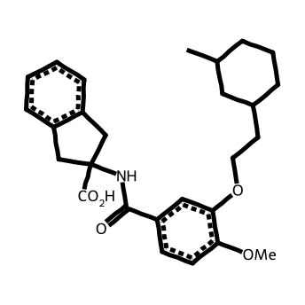 COc1ccc(C(=O)NC2(C(=O)O)Cc3ccccc3C2)cc1OCCC1CCCC(C)C1